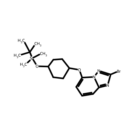 CC(C)(C)[Si](C)(C)OC1CCC(Oc2cccc3nc(Br)nn23)CC1